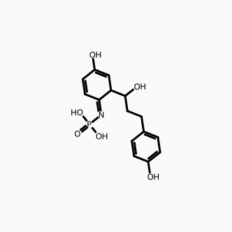 O=P(O)(O)N=C1C=CC(O)=CC1C(O)CCc1ccc(O)cc1